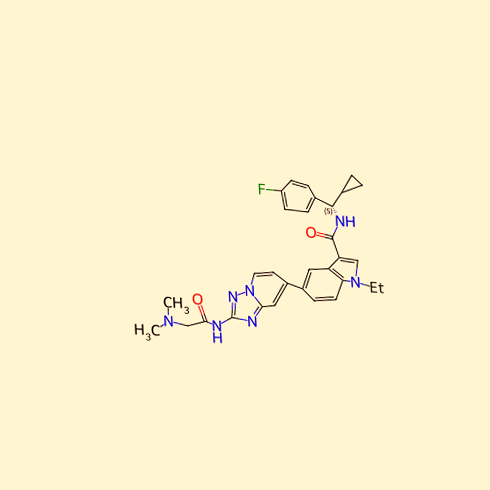 CCn1cc(C(=O)N[C@H](c2ccc(F)cc2)C2CC2)c2cc(-c3ccn4nc(NC(=O)CN(C)C)nc4c3)ccc21